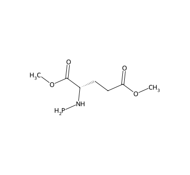 COC(=O)CC[C@H](NP)C(=O)OC